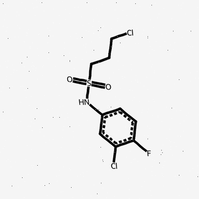 O=S(=O)(CCCCl)Nc1ccc(F)c(Cl)c1